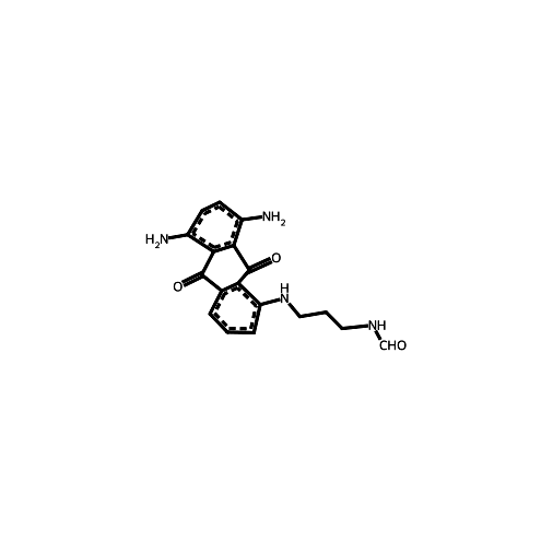 Nc1ccc(N)c2c1C(=O)c1cccc(NCCCNC=O)c1C2=O